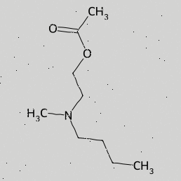 CCCCN(C)CCOC(C)=O